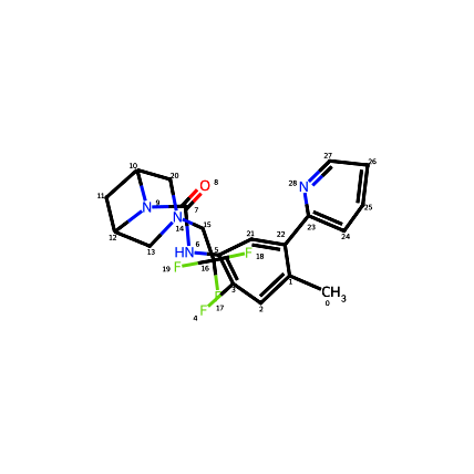 Cc1cc(F)c(NC(=O)N2C3CC2CN(CC(F)(F)F)C3)cc1-c1ccccn1